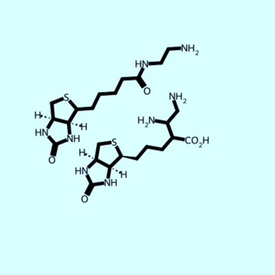 NCC(N)C(CCC[C@@H]1SC[C@@H]2NC(=O)N[C@@H]21)C(=O)O.NCCNC(=O)CCCCC1SC[C@@H]2NC(=O)N[C@H]12